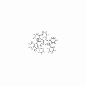 O=P(c1ccccc1)(c1ccccc1)c1ccc(C2(c3ccc4c(c3)c3cnccc3n4-c3ccccc3)c3ccccc3-c3ccccc32)cc1